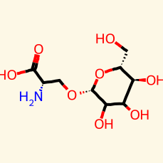 N[C@@H](CO[C@@H]1O[C@H](CO)[C@@H](O)C(O)C1O)C(=O)O